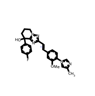 COc1cc(/C=C/c2nc3n(n2)CCCC3(O)c2ccc(F)cc2)ccc1-n1cnc(C)c1